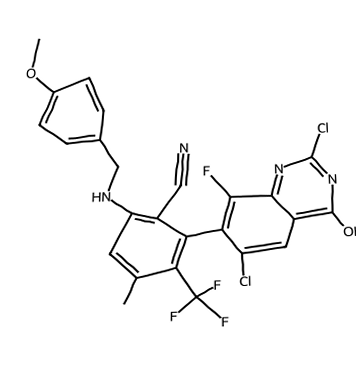 COc1ccc(CNc2cc(C)c(C(F)(F)F)c(-c3c(Cl)cc4c(O)nc(Cl)nc4c3F)c2C#N)cc1